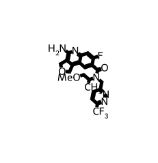 COCC(C)N(Cc1ccc(C(F)(F)F)nn1)C(=O)c1cc2c3c(c(N)nc2cc1F)COC3